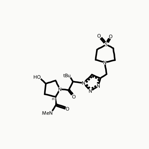 CNC(=O)[C@H]1CC(O)CN1C(=O)C(n1cc(CN2CCS(=O)(=O)CC2)nn1)C(C)(C)C